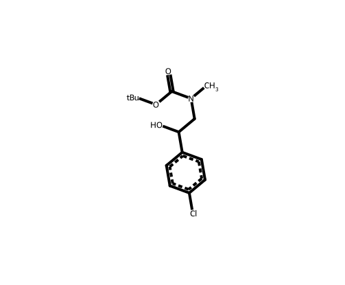 CN(CC(O)c1ccc(Cl)cc1)C(=O)OC(C)(C)C